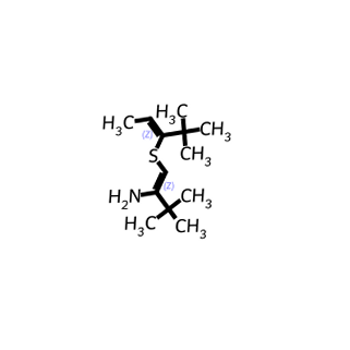 C/C=C(\S/C=C(\N)C(C)(C)C)C(C)(C)C